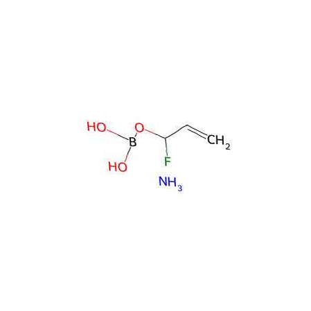 C=CC(F)OB(O)O.N